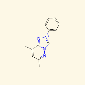 Cc1cc(C)c2n[n+](-c3ccccc3)cn2n1